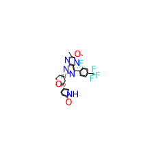 COc1nc2c(-c3ccc(C(F)(F)F)cc3F)nc([C@H]3CCO[C@@H](c4ccc(=O)[nH]c4)C3)nc2nc1C